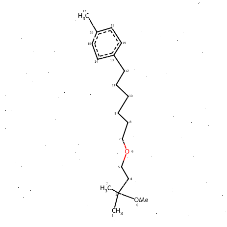 COC(C)(C)CCOCCCCCCc1ccc(C)cc1